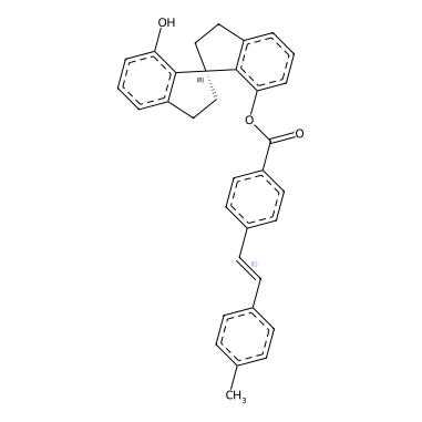 Cc1ccc(/C=C/c2ccc(C(=O)Oc3cccc4c3[C@]3(CCc5cccc(O)c53)CC4)cc2)cc1